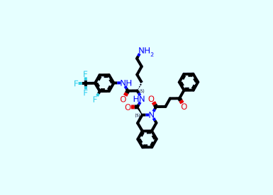 NCCCC[C@H](NC(=O)[C@@H]1Cc2ccccc2CN1C(=O)CCC(=O)c1ccccc1)C(=O)Nc1ccc(C(F)(F)F)c(F)c1